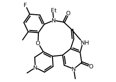 CCN1C(=O)c2cc3c(cn(C)c(=O)c3[nH]2)C2=C(CN(C)C=C2)Oc2c(C)cc(F)cc21